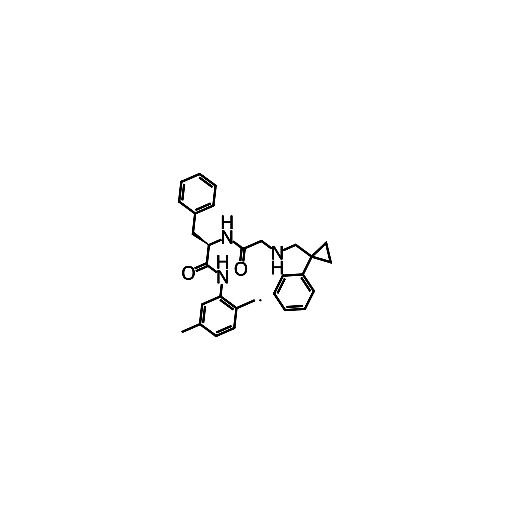 [CH2]c1ccc(C)cc1NC(=O)[C@@H](Cc1ccccc1)NC(=O)CNCC1(c2ccccc2)CC1